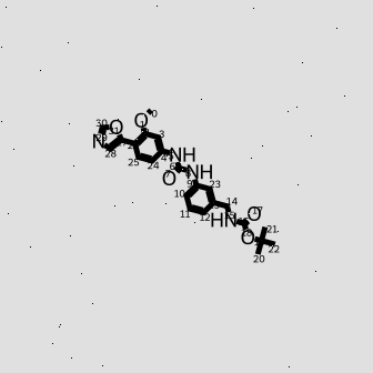 COc1cc(NC(=O)Nc2cccc(CNC(=O)OC(C)(C)C)c2)ccc1-c1cnco1